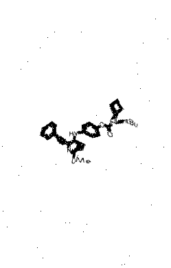 COc1ccc(Nc2ccc(OC(=O)N(C3CCC3)C(C)(C)C)cc2)c(C#Cc2ccccc2)n1